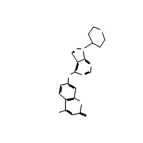 Cc1cc(=O)oc2cc(Oc3ncnc4c3cnn4C3CCNCC3)ccc12